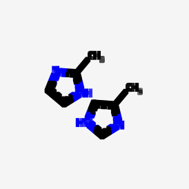 Cc1c[nH]cn1.Cc1ncc[nH]1